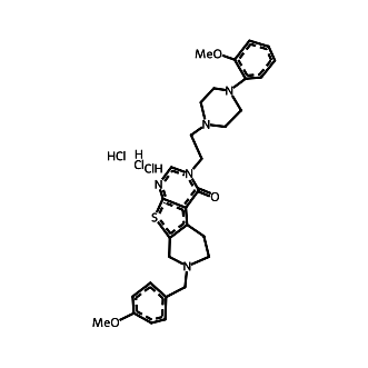 COc1ccc(CN2CCc3c(sc4ncn(CCN5CCN(c6ccccc6OC)CC5)c(=O)c34)C2)cc1.Cl.Cl.Cl